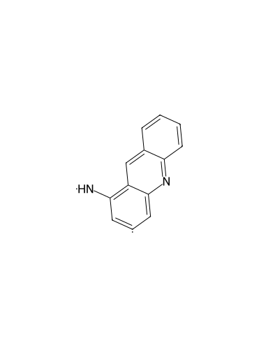 [NH]c1c[c]cc2nc3ccccc3cc12